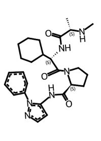 CN[C@@H](C)C(=O)N[C@H](C(=O)N1CCC[C@H]1C(=O)Nc1ccnn1-c1ccccc1)C1CCCCC1